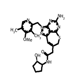 COc1c(C)cnc(Cn2nc3c4c(nc(N)nc42)SCC(CC(=O)NC2CCC[C@H]2O)=C3)c1C